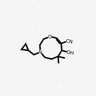 CC1(C)CCN(CC2CC2)CCO/C=C(/C#N)C1O